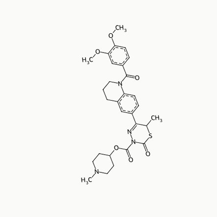 COc1ccc(C(=O)N2CCCc3cc(C4=NN(C(=O)OC5CCN(C)CC5)C(=O)SC4C)ccc32)cc1OC